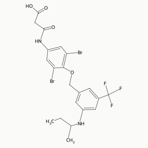 CCC(C)Nc1cc(COc2c(Br)cc(NC(=O)CC(=O)O)cc2Br)cc(C(F)(F)F)c1